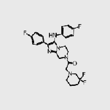 O=C(CN1CCCC(F)(F)C1)N1CCn2c(nc(-c3ccc(F)cc3)c2Nc2ccc(F)cc2)C1